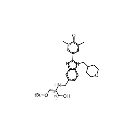 Cc1cc(-c2nc3cc(CN[C@H](COC(C)(C)C)[C@@H](C)O)ccc3n2CC2CCOCC2)cn(C)c1=O